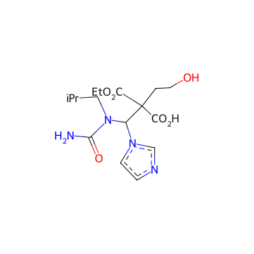 CCOC(=O)C(CCO)(C(=O)O)C(N(CC(C)C)C(N)=O)n1ccnc1